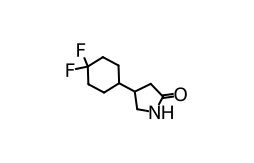 O=C1CC(C2CCC(F)(F)CC2)CN1